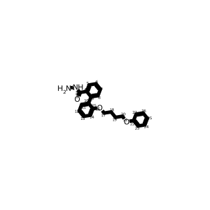 NNC(=O)c1ccccc1-c1ccccc1OCCCCOc1ccccc1